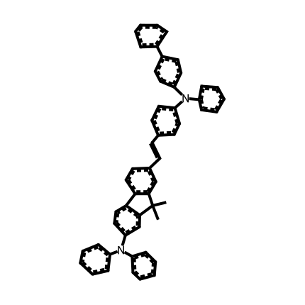 CC1(C)c2cc(/C=C/c3ccc(N(c4ccccc4)c4ccc(-c5ccccc5)cc4)cc3)ccc2-c2ccc(N(c3ccccc3)c3ccccc3)cc21